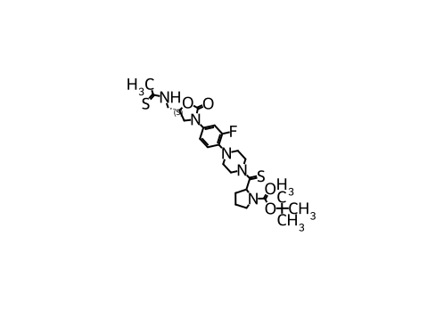 CC(=S)NC[C@H]1CN(c2ccc(N3CCN(C(=S)C4CCCN4C(=O)OC(C)(C)C)CC3)c(F)c2)C(=O)O1